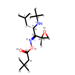 CC(C)C[C@H](NC(C)(C)C)/C(=N/OC(=O)CC(C)(C)C)[C@@]1(C)CO1